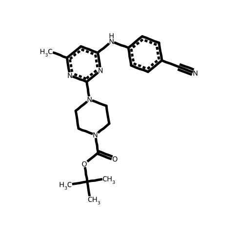 Cc1cc(Nc2ccc(C#N)cc2)nc(N2CCN(C(=O)OC(C)(C)C)CC2)n1